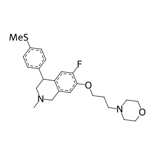 CSc1ccc(C2CN(C)Cc3cc(OCCCN4CCOCC4)c(F)cc32)cc1